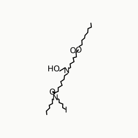 CCCCCCCCCOC(=O)CCCCCN(CCO)CCCCCCCC(=O)N(CCCCI)CCCCCC